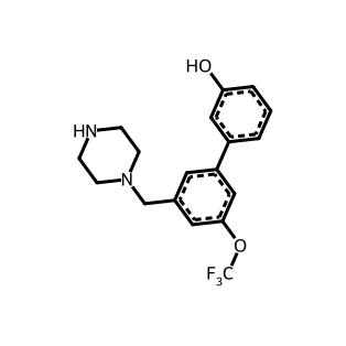 Oc1cccc(-c2cc(CN3CCNCC3)cc(OC(F)(F)F)c2)c1